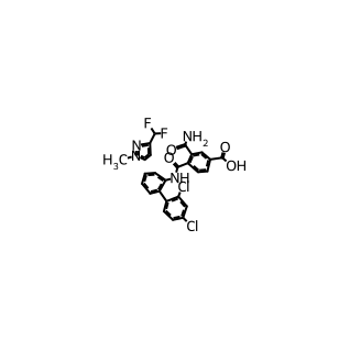 Cn1ccc(C(F)F)n1.NC(=O)c1cc(C(=O)O)ccc1C(=O)Nc1ccccc1-c1ccc(Cl)cc1Cl